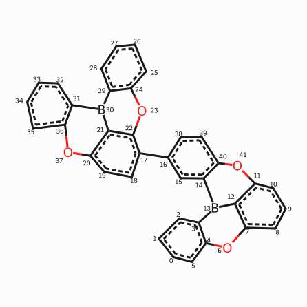 c1ccc2c(c1)Oc1cccc3c1B2c1cc(-c2ccc4c5c2Oc2ccccc2B5c2ccccc2O4)ccc1O3